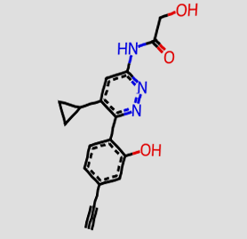 C#Cc1ccc(-c2nnc(NC(=O)CO)cc2C2CC2)c(O)c1